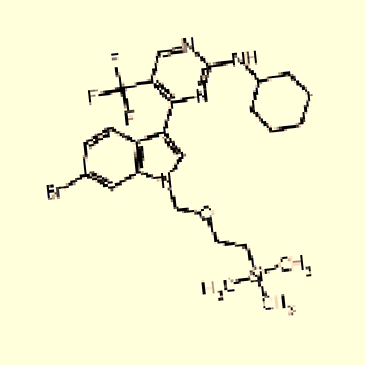 C[Si](C)(C)CCOCn1cc(-c2nc(NC3CCCCC3)ncc2C(F)(F)F)c2ccc(Br)cc21